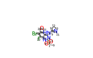 CCS(=O)(=O)c1nc(NC[C@@H]2CCCN2C)c2c3c(c(Br)c(F)c2n1)COC3